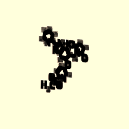 CS(=O)(=O)c1ccc(Oc2cc3nc(-c4ccccn4)[nH]c3cc2CN2C(=O)CCC2=O)cn1